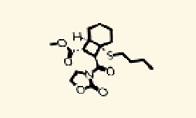 CCCCS[C@@]12CCCC[C@@H]1[C@@H](C(=O)OC)[C@@H]2C(=O)N1CCOC1=O